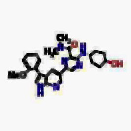 COc1ccccc1-c1c[nH]c2ncc(-c3cnc(N[C@H]4CC[C@H](O)CC4)c(C(=O)N(C)C)n3)cc12